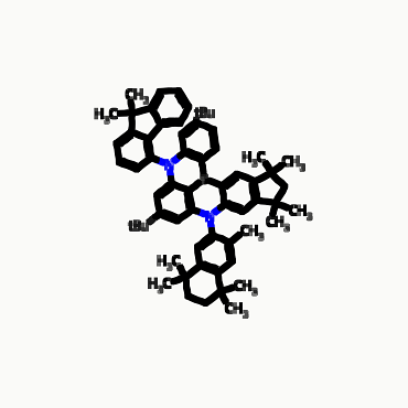 Cc1cc2c(cc1N1c3cc4c(cc3B3c5ccc(C(C)(C)C)cc5N(c5cccc6c5-c5ccccc5C6(C)C)c5cc(C(C)(C)C)cc1c53)C(C)(C)CC4(C)C)C(C)(C)CCC2(C)C